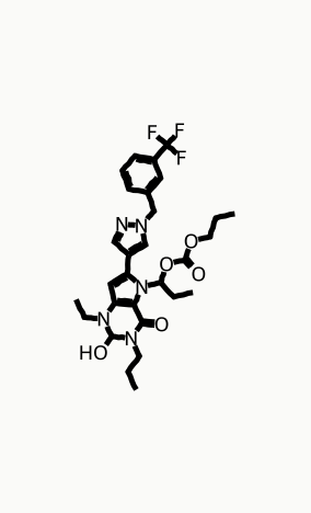 CCCOC(=O)OC(CC)n1c(-c2cnn(Cc3cccc(C(F)(F)F)c3)c2)cc2c1C(=O)N(CCC)C(O)N2CC